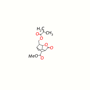 C=C(C)C(=O)OCC1C2CC3C1OC(=O)C3C2C(=O)OC